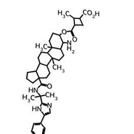 CC1C(C(=O)O)CC1C(=O)OC1CCC2(C)C(CCC3(C)C4CCC5(C(=O)NC(C)(C)c6ncc(-c7ccccc7)[nH]6)CCCC5C4CCC23)C1N